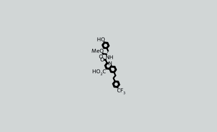 COC(=O)[C@H](Cc1ccc(O)cc1)NC(=O)c1cc(C(=O)O)c2cc(CCc3ccc(C(F)(F)F)cc3)ccc2n1